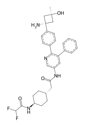 C[C@]1(O)C[C@@](N)(c2ccc(-c3ncc(NC(=O)C[C@H]4CC[C@H](NC(=O)C(F)F)CC4)cc3-c3ccccc3)cc2)C1